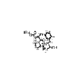 CC(C)[C@H](NC(=O)OC(C)(C)C)C(=O)N1CSC[C@H]1C(=O)NC(Cc1ccccc1)C(O)C(F)(F)F